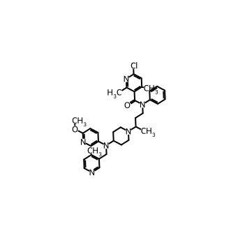 COc1ccc(N(Cc2cnccc2C)C2CCN(C(C)CCN(C(=O)c3c(C)cc(Cl)nc3C)c3ccccc3)CC2)cn1